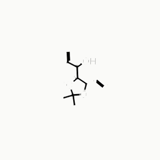 C=CC(O)C1OC(C)(C)O[C@H]1C=C